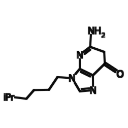 CC(C)CCCCn1cnc2c1N=C(N)CC2=O